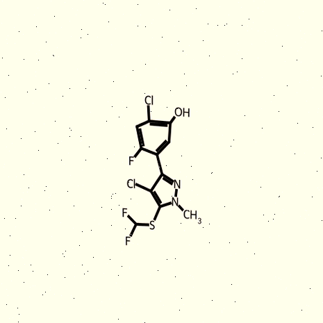 Cn1nc(-c2cc(O)c(Cl)cc2F)c(Cl)c1SC(F)F